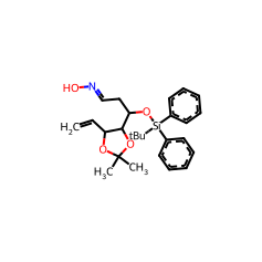 C=CC1OC(C)(C)OC1C(CC=NO)O[Si](c1ccccc1)(c1ccccc1)C(C)(C)C